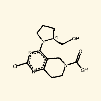 O=C(O)N1CCc2nc(Cl)nc(N3CCC[C@H]3CO)c2C1